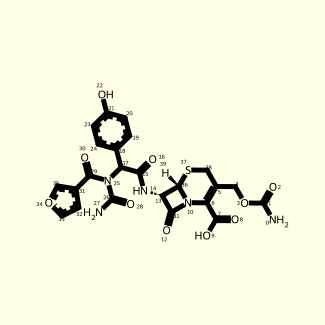 NC(=O)OCC1=C(C(=O)O)N2C(=O)[C@H](NC(=O)C(c3ccc(O)cc3)N(C(N)=O)C(=O)c3ccoc3)[C@@H]2SC1